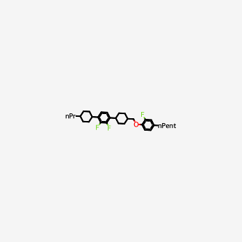 CCCCCc1ccc(OCC2CCC(c3ccc(C4CCC(CCC)CC4)c(F)c3F)CC2)c(F)c1